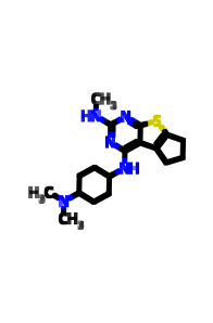 CNc1nc(NC2CCC(N(C)C)CC2)c2c3c(sc2n1)CCC3